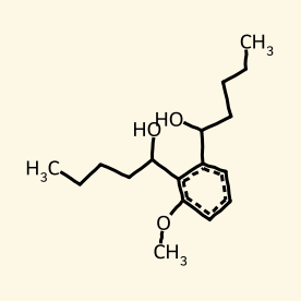 CCCCC(O)c1cccc(OC)c1C(O)CCCC